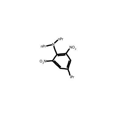 CCCN(CCC)c1c([N+](=O)[O-])cc(C(C)C)cc1[N+](=O)[O-]